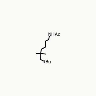 CC(=O)NCCCCC(C)(C)CC(C)(C)C